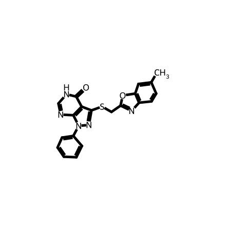 Cc1ccc2nc(CSc3nn(-c4ccccc4)c4nc[nH]c(=O)c34)oc2c1